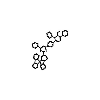 CCC1C(c2ccccc2)=CC=C(c2ccc(-c3cc(-c4ccccc4)nc(-c4ccc5c(c4)C4(c6ccccc6-c6ccccc64)c4ccccc4-5)n3)cc2)C1c1ccccc1